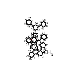 Cc1ccccc1C1=C(c2nc(-c3ccccc3)nc(-c3ccccc3)n2)C2=C(CC1)c1ccccc1C2c1cccc2nc(-c3cc(-c4ccccc4)cc(-c4ccccc4)c3)sc12